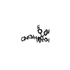 Fc1ccc(-c2nc3nn(CCN4CCC(N5CCCCC5)CC4)cc3c(-c3ccc(F)cc3)c2-c2ccncc2)cc1